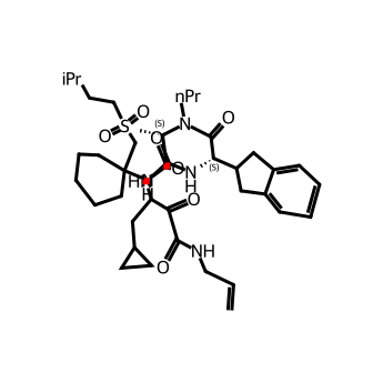 C=CCNC(=O)C(=O)C(CC1CC1)NC(=O)[C@H](C)N(CCC)C(=O)[C@@H](NC(=O)NC1(CS(=O)(=O)CCC(C)C)CCCCC1)C1Cc2ccccc2C1